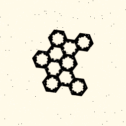 c1ccc2c(c1)c1cccc3c4cccc5c6cccc7c8ccccc8c8cc2c(c13)c(c45)c8c76